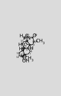 C[C@@H]1C[C@]2(C)[C@H]3CC[C@]4(C)[C@@H](O)CC[C@H]4[C@@H]3CC[C@H]2N(C)C1=O